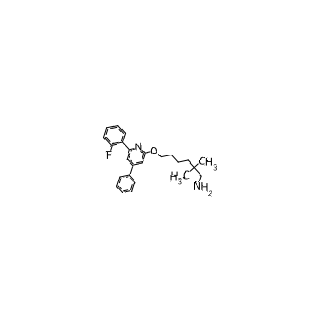 CC(C)(CN)CCCCOc1cc(-c2ccccc2)cc(-c2ccccc2F)n1